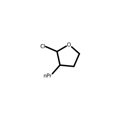 CCCC1CCOC1Cl